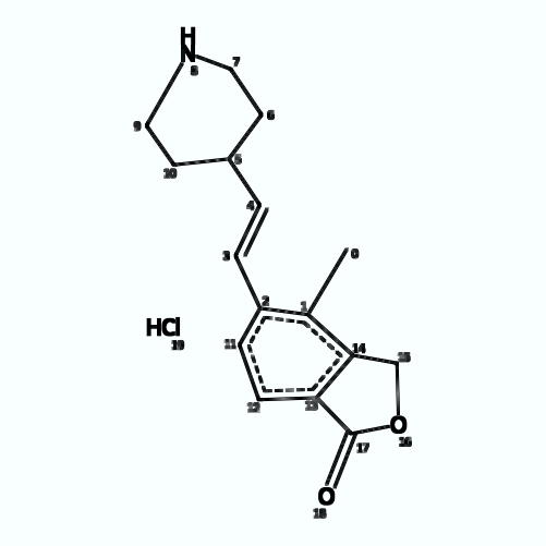 Cc1c(C=CC2CCNCC2)ccc2c1COC2=O.Cl